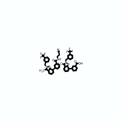 Cc1c2cccc(-c3cccc(C(=O)NCCC#N)c3)c2nn1Cc1cccc(C(F)(F)F)c1.Cc1c2cccc(-c3cccc(C(=O)O)c3)c2nn1Cc1cccc(C(F)(F)F)c1